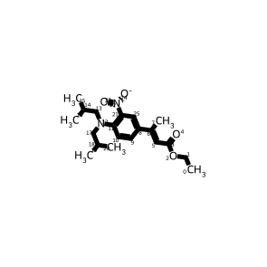 CCOC(=O)/C=C(\C)c1ccc(N(CC(C)C)CC(C)C)c([N+](=O)[O-])c1